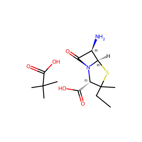 CC(C)(C)C(=O)O.CCC1(C)S[C@@H]2[C@H](N)C(=O)N2[C@H]1C(=O)O